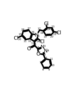 O=C(c1nnc(-c2ccccc2)o1)c1c(Cl)n(Cc2ccc(Cl)cc2Cl)c2ccc(Cl)cc12